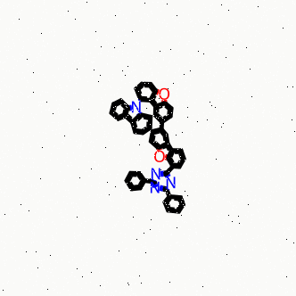 c1ccc(-c2nc(-c3ccccc3)nc(-c3cccc4c3oc3ccc(-c5ccc6oc7cccc(-n8c9ccccc9c9ccccc98)c7c6c5)cc34)n2)cc1